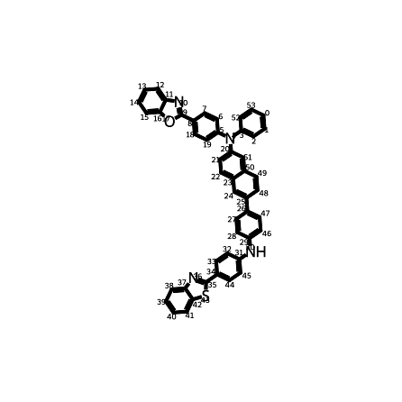 c1ccc(N(c2ccc(-c3nc4ccccc4o3)cc2)c2ccc3cc(-c4ccc(Nc5ccc(-c6nc7ccccc7s6)cc5)cc4)ccc3c2)cc1